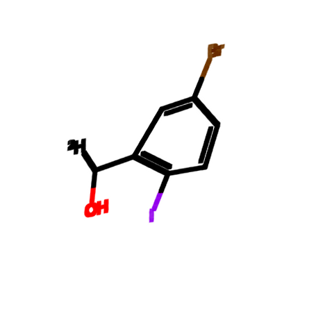 [2H]C(O)c1cc(Br)ccc1I